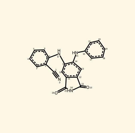 N#Cc1ccccc1Nc1cc2c(cc1Nc1ccccc1)C(=O)NC2=O